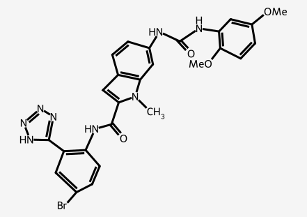 COc1ccc(OC)c(NC(=O)Nc2ccc3cc(C(=O)Nc4ccc(Br)cc4-c4nnn[nH]4)n(C)c3c2)c1